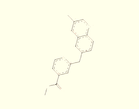 COC(=O)c1ccnc(Cc2ccc3ncc(C)cc3c2)c1